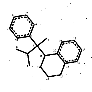 CC(C)C(C)(c1ccccc1)C1CCCc2ccccc21